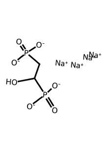 O=P([O-])([O-])CC(O)P(=O)([O-])[O-].[Na+].[Na+].[Na+].[Na+]